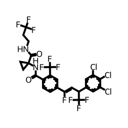 O=C(NC1(C(=O)NCCC(F)(F)F)CC1)c1ccc(/C(F)=C/C(c2cc(Cl)c(Cl)c(Cl)c2)C(F)(F)F)cc1C(F)(F)F